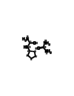 NC(=O)NC1CCCC1.NC(N)=O